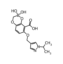 CC(C)n1cc(COc2ccc3c(c2C(=O)O)O[B-](O)(O)CO3)cn1